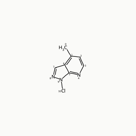 Cc1ccnc2c1[c]nn2Cl